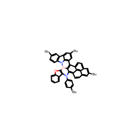 CC(C)(C)c1ccc(N2c3c(oc4ccccc34)B3c4c(c5ccc6cc(C(C)(C)C)cc7ccc(c42)c5c67)-c2cc(C(C)(C)C)cc4c5cc(C(C)(C)C)ccc5n3c24)cc1